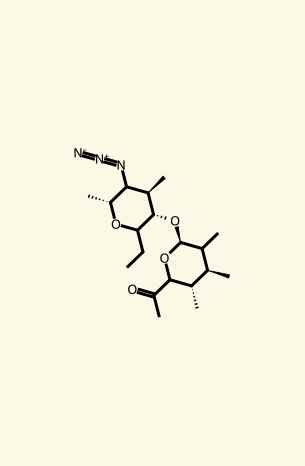 CCC1O[C@H](C)C(N=[N+]=[N-])[C@@H](C)[C@@H]1O[C@@H]1OC(C(C)=O)[C@@H](C)[C@H](C)C1C